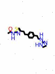 CC(=O)Nc1nc(CCc2ccc(CCNC3=NCCN3)cc2)cs1